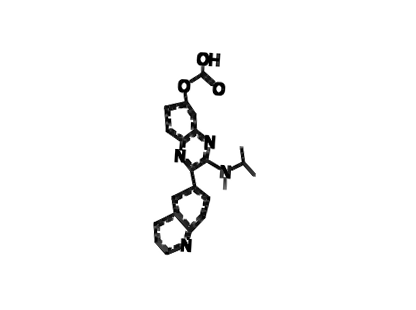 CC(C)N(C)c1nc2cc(OC(=O)O)ccc2nc1-c1ccc2ncccc2c1